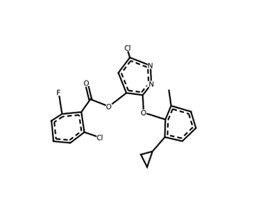 Cc1cccc(C2CC2)c1Oc1nnc(Cl)cc1OC(=O)c1c(F)cccc1Cl